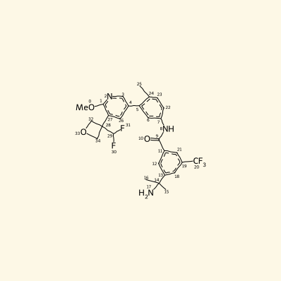 COc1ncc(-c2cc(NC(=O)c3cc(C(C)(C)N)cc(C(F)(F)F)c3)ccc2C)cc1C1(C(F)F)COC1